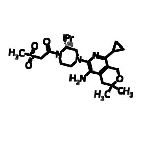 CC(C)[C@@H]1CN(c2nc(C3CC3)c3c(c2N)CC(C)(C)OC3)CCN1C(=O)CS(C)(=O)=O